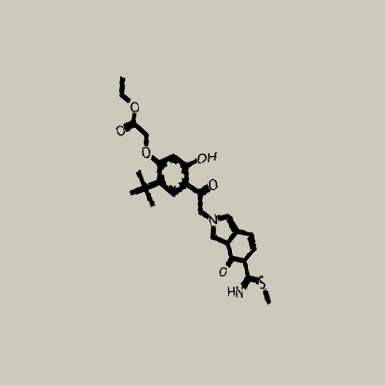 CCOC(=O)COc1cc(O)c(C(=O)CN2C=C3C=CC(C(=N)SC)C(=O)C3C2)cc1C(C)(C)C